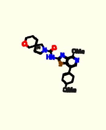 COc1ncc(C2=CCC(OC)CC2)c2sc(NC(=O)N3CC[C@@]4(CCCOC4)C3)nc12